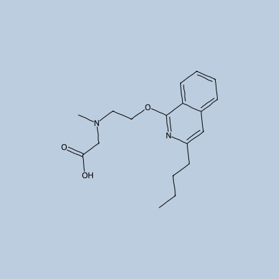 CCCCc1cc2ccccc2c(OCCN(C)CC(=O)O)n1